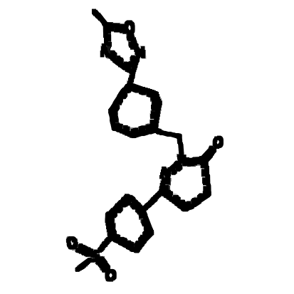 Cc1nc(-c2cccc(Cn3nc(-c4ccc(S(C)(=O)=O)cc4)ccc3=O)c2)no1